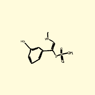 CN/C=C(/OS(=O)(=O)O)c1cccc(O)c1